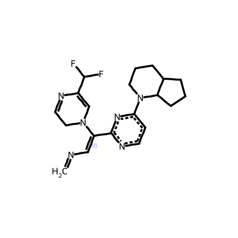 C=N/C=C(/c1nccc(N2CCCC3CCCC32)n1)N1C=C(C(F)F)N=CC1